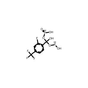 O=[PH](O)OC(O)(OPO)c1ccc(C(F)(F)F)cc1F